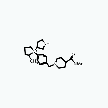 CNC(=O)C1CCN(Cc2ccc([N+]3([C@H]4CCNC4)CCC[C@@H]3C)cc2)CC1